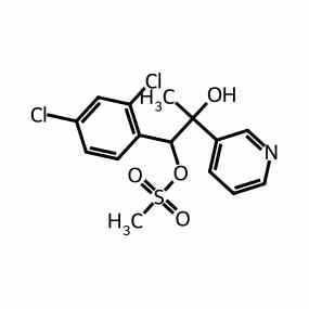 CC(O)(c1cccnc1)C(OS(C)(=O)=O)c1ccc(Cl)cc1Cl